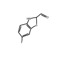 O=CC1Nc2ccc(F)cc2S1